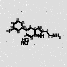 Cl.Cl.NCCc1nc2cc(-c3cccc(F)c3)ccc2[nH]1